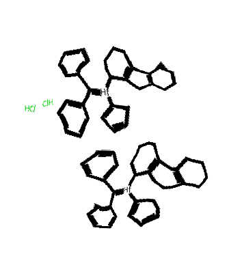 C1=CC[C]([Hf](=[C](c2ccccc2)c2ccccc2)[CH]2CCCC3=C2CC2=C3CCCC2)=C1.C1=CC[C]([Hf](=[C](c2ccccc2)c2ccccc2)[CH]2CCCC3=C2CC2=C3CCCC2)=C1.Cl.Cl